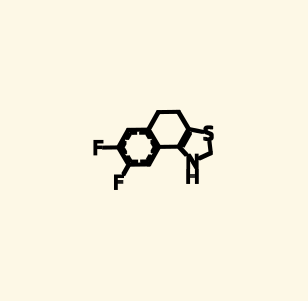 Fc1cc2c(cc1F)C1=C(CC2)SCN1